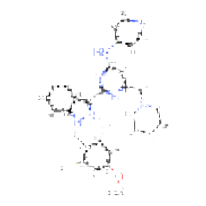 CCOc1cc(F)c(Cn2nc(-c3nc(CN4CCCCC4)cc(Nc4ccncc4)n3)c3ccccc32)c(F)c1